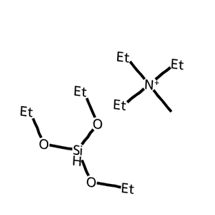 CCO[SiH](OCC)OCC.CC[N+](C)(CC)CC